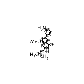 COc1cc(-c2ccnc(N)n2)cc2c(=O)[nH]c(CCN(C)C)nc12